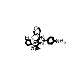 C[C@H]1COCCN1c1cc(C2(S(=O)(=O)C3CCCC3)CC2)nc(-c2ccc(N)cc2)n1